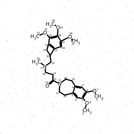 COc1cc2c(cc1OC)CCN(C(=O)CCN(C)CC1Cc3c1cc(OC)c(OC)c3OC)CC2